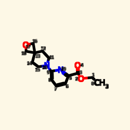 CCOC(=O)c1cccc(N2CCC3(CC2)COC3)n1